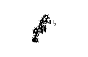 NC(=O)C1CCCN1CC1CC(n2cc(-c3cccc(OCC45CCC(CC4)O5)c3)c3c(N)ncnc32)C1